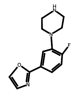 Fc1ccc(-c2ncco2)cc1N1CCNCC1